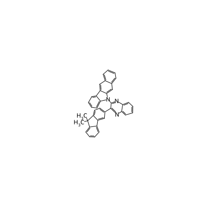 CC1(C)c2ccccc2-c2cc(-c3nc4ccccc4nc3-n3c4ccccc4c4cc5ccccc5cc43)ccc21